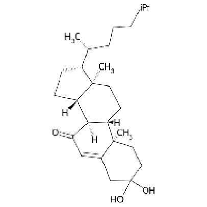 CC(C)CCC[C@@H](C)[C@H]1CC[C@H]2[C@@H]3C(=O)C=C4CC(O)(O)CC[C@]4(C)[C@H]3CC[C@]12C